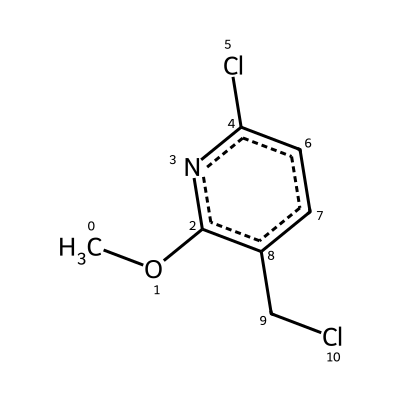 COc1nc(Cl)ccc1CCl